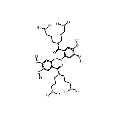 CCOc1cc(SSc2cc(OCC)c(OCC)cc2C(=O)N(CCCN(CC)CC)CCCN(CC)CC)c(C(=O)N(CCCN(CC)CC)CCCN(CC)CC)cc1OCC